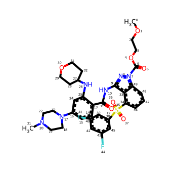 COCCOC(=O)n1nc(NC(=O)c2ccc(N3CCN(C)CC3)cc2NC2CCOCC2)c2c(S(=O)(=O)c3cc(F)cc(F)c3)cccc21